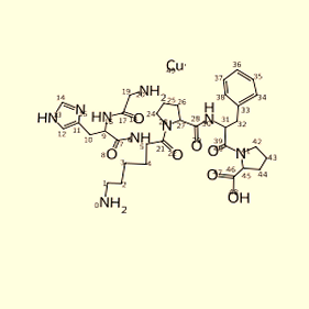 NCCCCC(NC(=O)C(Cc1c[nH]cn1)NC(=O)CN)C(=O)N1CCCC1C(=O)NC(Cc1ccccc1)C(=O)N1CCCC1C(=O)O.[Cu]